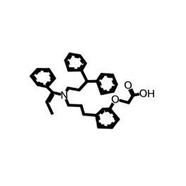 CC=C(c1ccccc1)N(CCCc1cccc(OCC(=O)O)c1)CCC(c1ccccc1)c1ccccc1